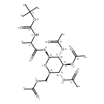 CC(=O)OC[C@H]1O[C@@H](SC(=O)C(C)NC(=O)OC(C)(C)C)[C@H](OC(C)=O)[C@@H](OC(C)=O)[C@@H]1OC(C)=O